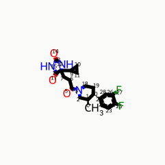 C[C@H]1CN(C(=O)CCC2(C3CC3)NC(=O)NC2=O)CC[C@@H]1c1ccc(F)c(F)c1